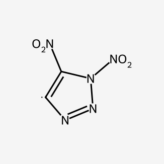 O=[N+]([O-])c1[c]nnn1[N+](=O)[O-]